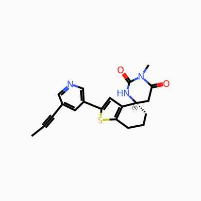 CC#Cc1cncc(-c2cc3c(s2)CCC[C@]32CC(=O)N(C)C(=O)N2)c1